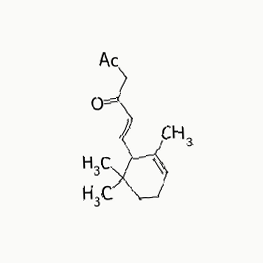 CC(=O)CC(=O)/C=C/C1C(C)=CCCC1(C)C